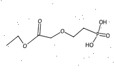 CCOC(=O)COCCP(=O)(O)O